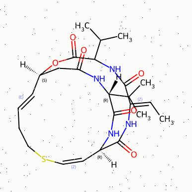 C/C=C1\NC(=O)[C@H]2/C=C\SCC/C=C/[C@H](CC(=O)N[C@H](C(C)C)C(=O)N2)OC(=O)C(C(C)C)NC1=O